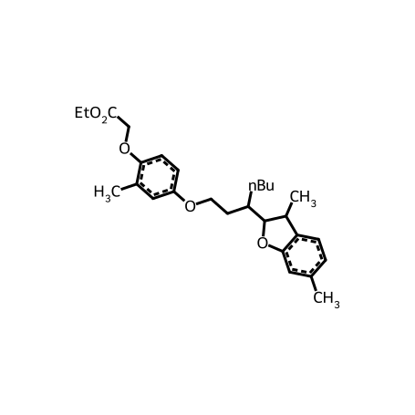 CCCCC(CCOc1ccc(OCC(=O)OCC)c(C)c1)C1Oc2cc(C)ccc2C1C